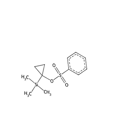 C[Si](C)(C)C1(OS(=O)(=O)c2ccccc2)CC1